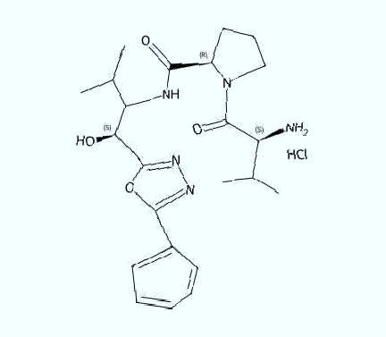 CC(C)C(NC(=O)[C@H]1CCCN1C(=O)[C@@H](N)C(C)C)[C@H](O)c1nnc(-c2ccccc2)o1.Cl